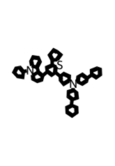 c1ccc(-c2ccc(N(c3ccc(-c4ccccc4)cc3)c3ccc(-c4cc(-c5cccc6c5c5ccccc5n6-c5ccccc5)cc5c4sc4ccccc45)cc3)cc2)cc1